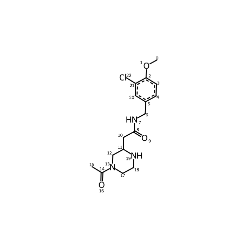 COc1ccc(CNC(=O)CC2CN(C(C)=O)CCN2)cc1Cl